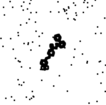 O=C(CSc1ccccc1-c1ccccc1)N1CCC(CCc2ccc3c(c2)OCO3)CC1